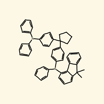 CC1(C)c2ccccc2-c2c(N(c3ccccc3)c3ccc(C4(c5ccc(N(c6ccccc6)c6ccccc6)cc5)CCCC4)cc3)cccc21